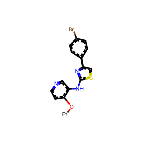 CCOc1ccncc1Nc1nc(-c2ccc(Br)cc2)cs1